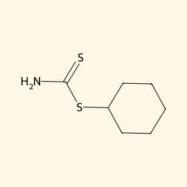 NC(=S)SC1CCCCC1